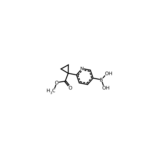 COC(=O)C1(c2ccc(B(O)O)cn2)CC1